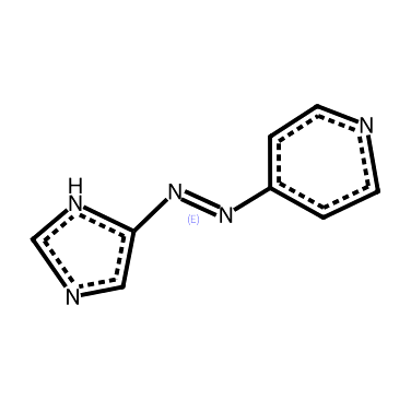 c1cc(/N=N/c2cnc[nH]2)ccn1